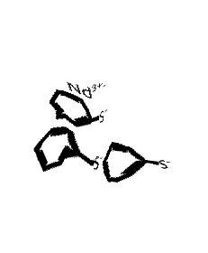 [Nd+3].[S-]c1ccccc1.[S-]c1ccccc1.[S-]c1ccccc1